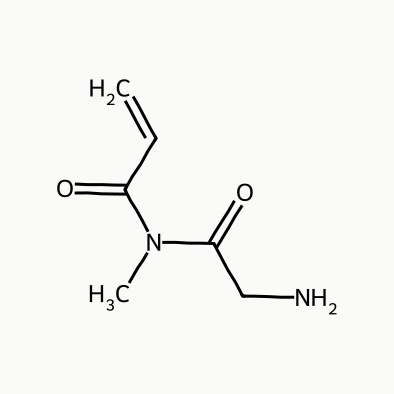 C=CC(=O)N(C)C(=O)CN